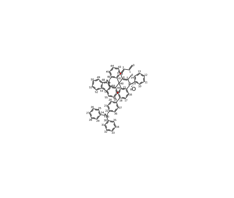 C=C/C=C\C1=C(C)P(=O)(c2ccccc2)c2ccc(-c3ccc(N(c4ccccc4)c4ccccc4)cc3)cc2C12c1ccccc1-n1c3ccccc3c3cccc2c31